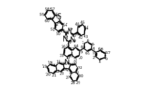 c1ccc(-c2cccc(-c3ccc4c(-n5c6cc7ccccc7cc6c6c7ccccc7ccc65)ccc(-c5nc(-c6ccccc6)nc(-c6ccc7c(c6)sc6ccccc67)n5)c4c3)c2)cc1